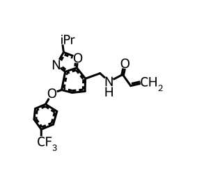 C=CC(=O)NCc1ccc(Oc2ccc(C(F)(F)F)cc2)c2nc(C(C)C)oc12